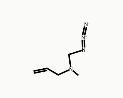 C=CCN(C)CN=[N+]=[N-]